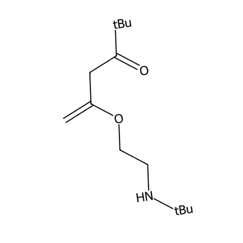 C=C(CC(=O)C(C)(C)C)OCCNC(C)(C)C